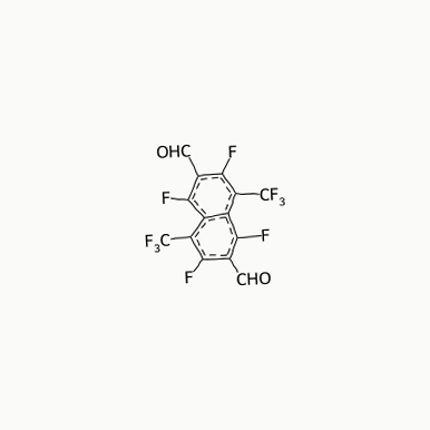 O=Cc1c(F)c(C(F)(F)F)c2c(F)c(C=O)c(F)c(C(F)(F)F)c2c1F